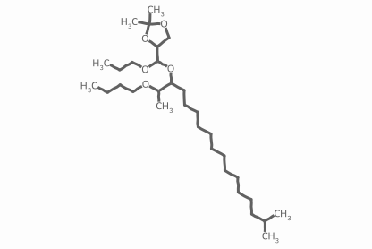 CCCCOC(C)C(CCCCCCCCCCCCC(C)C)OC(OCCC)C1COC(C)(C)O1